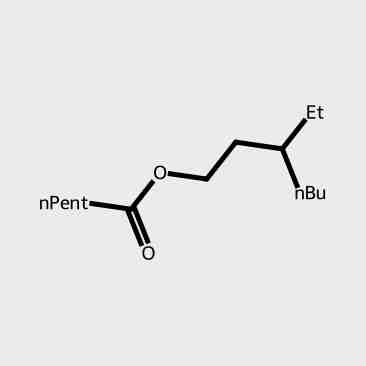 CCCCCC(=O)OCCC(CC)CCCC